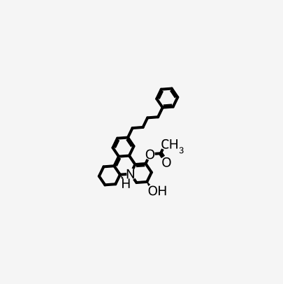 CC(=O)OC1=C2C3C=C(CCCCc4ccccc4)C=CC3=C3CCCC[C@@H]3N2C[C@H](O)C1